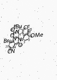 COc1ccc(-n2c(C3CC(C(F)(F)F)CN3C(=O)OC(C)(C)C)nc3c(Br)cc(C#N)cc3c2=O)cc1F